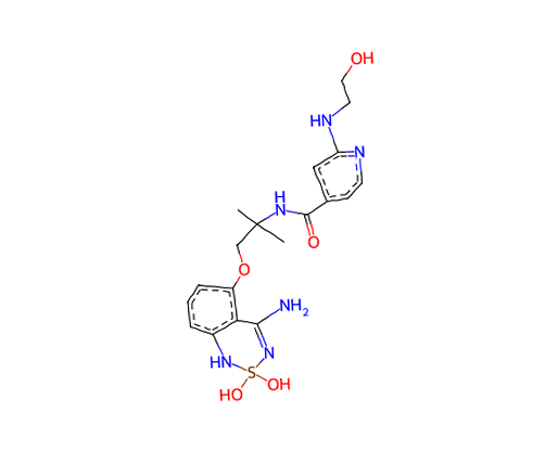 CC(C)(COc1cccc2c1C(N)=NS(O)(O)N2)NC(=O)c1ccnc(NCCO)c1